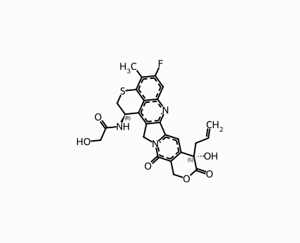 C=CC[C@@]1(O)C(=O)OCc2c1cc1n(c2=O)Cc2c-1nc1cc(F)c(C)c3c1c2[C@@H](NC(=O)CO)CS3